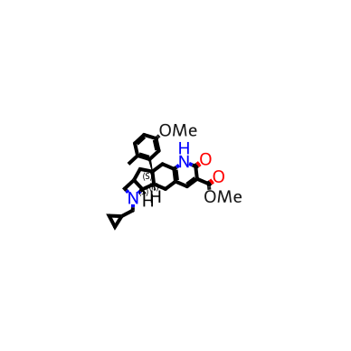 COC(=O)c1cc2c([nH]c1=O)C[C@@]1(c3cc(OC)ccc3C)CC3CN(CC4CC4)[C@H]3[C@@H]1C2